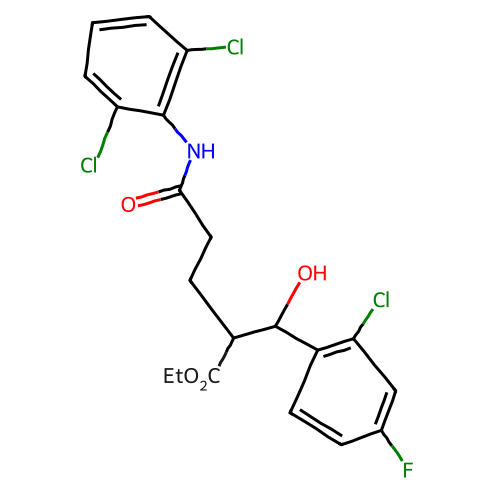 CCOC(=O)C(CCC(=O)Nc1c(Cl)cccc1Cl)C(O)c1ccc(F)cc1Cl